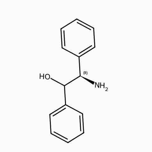 N[C@H](c1ccccc1)C(O)c1ccccc1